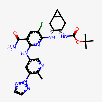 Cc1ncc(Nc2nc(N[C@@H]3CC4CC4C[C@@H]3NC(=O)OC(C)(C)C)c(F)cc2C(N)=O)cc1-n1nccn1